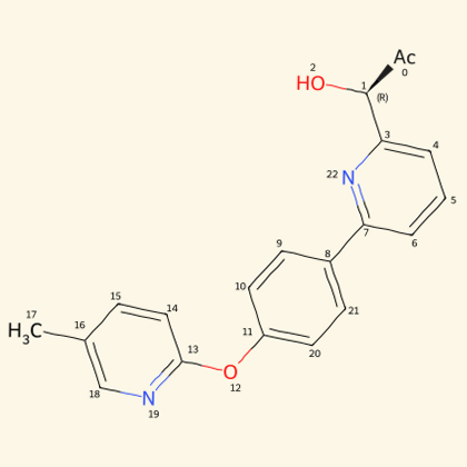 CC(=O)[C@H](O)c1cccc(-c2ccc(Oc3ccc(C)cn3)cc2)n1